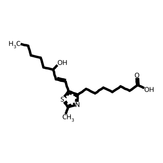 CCCCCC(O)C=Cc1sc(C)nc1CCCCCCC(=O)O